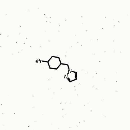 CC(C)C1CCC(Cn2cccn2)CC1